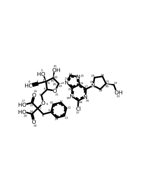 C#C[C@@]1(O)C(COC(Cc2ccccc2)(C(=O)O)C(=O)O)O[C@@H](n2cnc3c(N4CC[C@@H](CO)C4)nc(Cl)nc32)[C@@H]1O